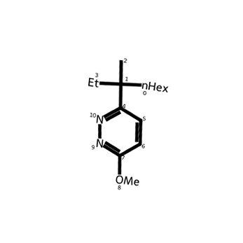 CCCCCCC(C)(CC)c1ccc(OC)nn1